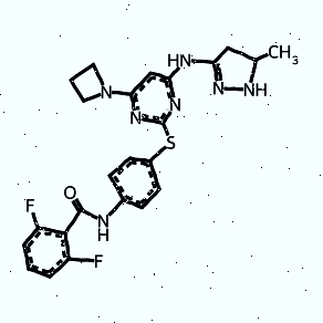 CC1CC(Nc2cc(N3CCC3)nc(Sc3ccc(NC(=O)c4c(F)cccc4F)cc3)n2)=NN1